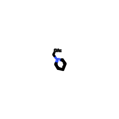 CC(=O)OC[n+]1ccccc1